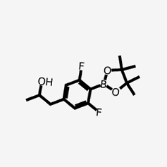 CC(O)Cc1cc(F)c(B2OC(C)(C)C(C)(C)O2)c(F)c1